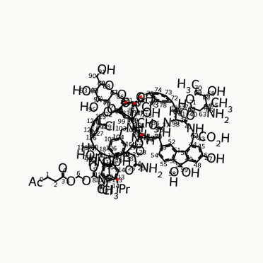 CC(=O)CCC(=O)OCOC(=O)N(C)[C@H](CC(C)C)C(=O)N[C@H]1C(=O)C[C@@H](CC(N)=O)C(=O)N[C@H]2C(=O)C[C@H]3C(=O)N[C@H](C(=O)N[C@H](C(=O)O)c4cc(O)cc5c4-c4cc3ccc4C5(O)O)[C@H](O[C@H]3C[C@](C)(N)[C@@H](O)[C@H](C)O3)c3ccc(c(Cl)c3)Oc3cc2cc(c3O[C@@H]2O[C@H](CO)[C@@H](O)[C@H](O)[C@H]2O[C@H]2C[C@](C)(NCc3ccc(-c4ccc(Cl)cc4)cc3)[C@@H](O)[C@H](C)O2)Oc2ccc(cc2Cl)[C@H]1O